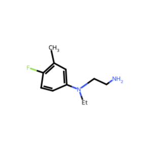 CCN(CCN)c1ccc(F)c(C)c1